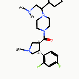 CC(=O)N(CC(C1CCCCC1)N1CCN(C(=O)[C@@H]2CN(C(C)(C)C)C[C@H]2c2ccc(F)cc2F)CC1)C(C)C